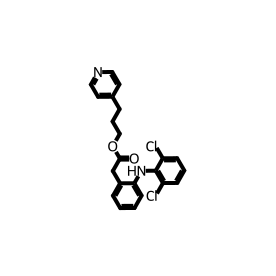 O=C(Cc1ccccc1Nc1c(Cl)cccc1Cl)OCCCc1ccncc1